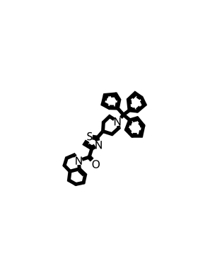 O=C(c1csc(C2CCN(C(c3ccccc3)(c3ccccc3)c3ccccc3)CC2)n1)N1CCCC2CCCC=C21